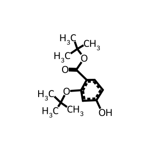 CC(C)(C)OC(=O)c1ccc(O)cc1OC(C)(C)C